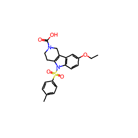 CCOc1ccc2c(c1)c1c(n2S(=O)(=O)c2ccc(C)cc2)CCN(C(=O)O)C1